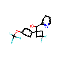 OC(c1ccccn1)C1(c2ccc(OC(F)(F)F)cc2)CC(F)(F)C1